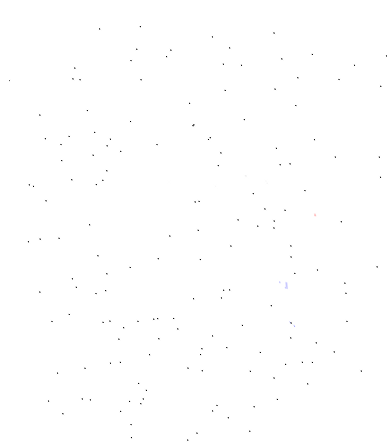 Cc1cnc(NC(=O)CCC2/C(=C/O)C(=O)C3(C)CCC4c5ccc(O)cc5CCC4C23)s1